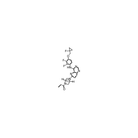 C=CC(=O)N1C[C@@H]2C[C@H]1CN2c1ccc2ncnc(Nc3ccc(OCC4(F)CC4)c(F)c3F)c2n1